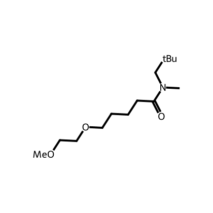 COCCOCCCCC(=O)N(C)CC(C)(C)C